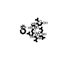 C1CCc2nnnn2CC1.CC(C)CC(=O)N[C@H](C(=O)N[C@H](C(=O)N[C@@H](CC(C)C)[C@@H](O)CC(=O)N[C@@H](C)C(=O)N[C@@H](CC(C)C)[C@@H](O)CC(=O)O)C(C)C)C(C)C